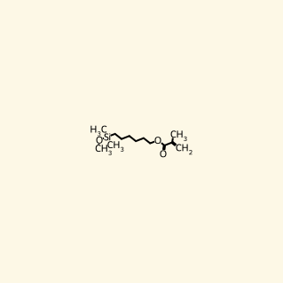 C=C(C)C(=O)OCCCCCC[Si](C)(C)OC